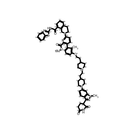 Cc1c(OCCC2CCN(CCC3CCN(c4ccc5c(C6CCC(=O)NC6=O)nn(C)c5c4)CC3)CC2)cccc1-c1ccc(N2CCc3cccc(C(=O)Nc4nc5ccccc5s4)c3C2)nc1C(=O)OC(C)(C)C